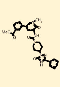 COC(=O)c1cccc(-c2cc(NC(=O)N3CCC(n4nc(-c5ccccc5)[nH]c4=O)CC3)c(=O)n(C)c2)c1